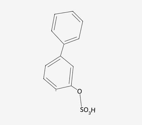 O=S(=O)(O)Oc1[c]ccc(-c2ccccc2)c1